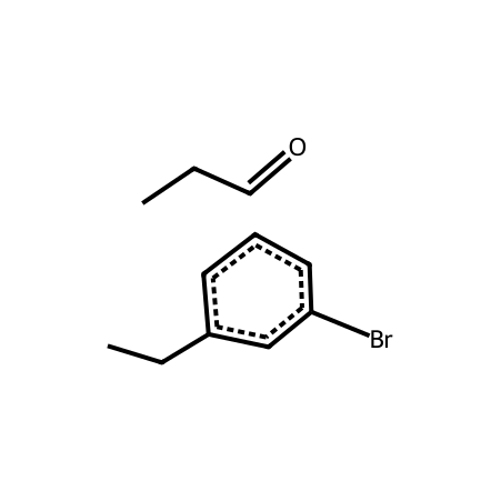 CCC=O.CCc1cccc(Br)c1